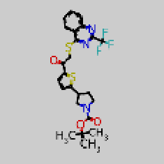 CC(C)(C)OC(=O)N1CCC(c2ccc(C(=O)CSc3nc(C(F)(F)F)nc4ccccc34)s2)C1